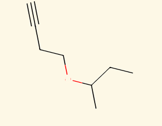 C#CCCOC(C)C[CH2]